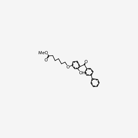 COC(=O)CCCCCOc1ccc(C(=O)c2ccc(-c3ccccc3)cc2)c(O)c1